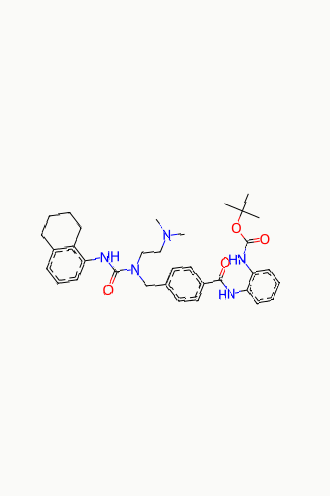 CN(C)CCN(Cc1ccc(C(=O)Nc2ccccc2NC(=O)OC(C)(C)C)cc1)C(=O)Nc1cccc2c1CCCC2